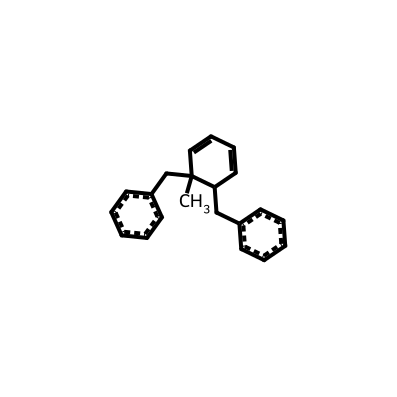 CC1(Cc2ccccc2)C=CC=CC1Cc1ccccc1